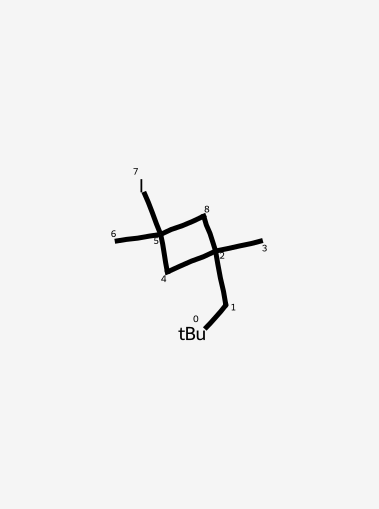 CC(C)(C)CC1(C)CC(C)(I)C1